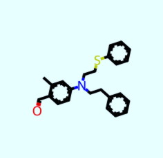 Cc1cc(N(CCSc2ccccc2)CCc2ccccc2)ccc1C=O